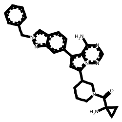 Nc1ncnn2c(C3CCCN(C(=O)C4(N)CC4)C3)cc(-c3ccc4cn(Cc5ccccc5)nc4c3)c12